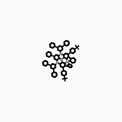 CC(C)(C)c1ccc(-c2cc3c(c4oc5ccccc5c24)B2c4c(cc(-c5ccccc5)cc4N(c4cc(-c5ccccc5)cc(-c5ccccc5)c4)c4cc(-c5ccc(C(C)(C)C)cc5)c5c(oc6ccccc65)c42)N3c2cc(-c3ccccc3)cc(-c3ccccc3)c2)cc1